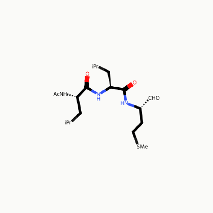 CSCC[C@@H](C=O)NC(=O)[C@H](CC(C)C)NC(=O)[C@H](CC(C)C)NC(C)=O